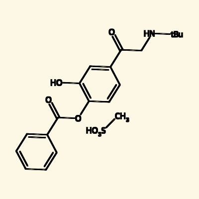 CC(C)(C)NCC(=O)c1ccc(OC(=O)c2ccccc2)c(O)c1.CS(=O)(=O)O